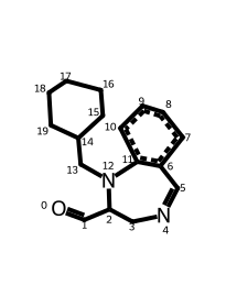 O=CC1CN=Cc2ccccc2N1CC1CCCCC1